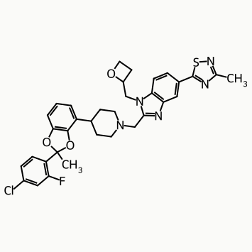 Cc1nsc(-c2ccc3c(c2)nc(CN2CCC(c4cccc5c4OC(C)(c4ccc(Cl)cc4F)O5)CC2)n3CC2CCO2)n1